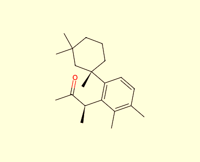 CC(=O)[C@H](C)c1c([C@@]2(C)CCCC(C)(C)C2)ccc(C)c1C